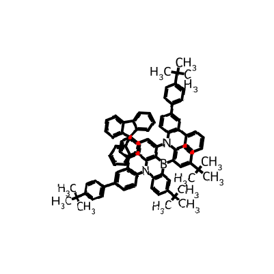 CC(C)(C)c1ccc(-c2ccc(N3c4ccc(C(C)(C)C)cc4B4c5cc(C(C)(C)C)ccc5N(c5ccc(-c6ccc(C(C)(C)C)cc6)cc5-c5ccccc5)c5cc(C6(c7ccccc7)c7ccccc7-c7ccccc76)cc3c54)c(-c3ccccc3)c2)cc1